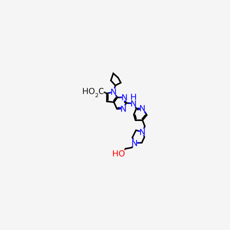 O=C(O)c1cc2cnc(Nc3ccc(CN4CCN(CCO)CC4)cn3)nc2n1C1CCCC1